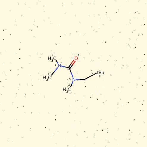 CN(C)C(=O)N(C)CC(C)(C)C